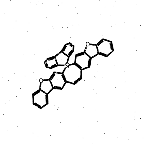 C1=Cc2cc3c(cc2[Si]2(c4cc5oc6ccccc6c5cc41)c1ccccc1-c1ccccc12)oc1ccccc13